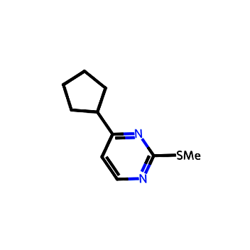 CSc1nccc(C2CCCC2)n1